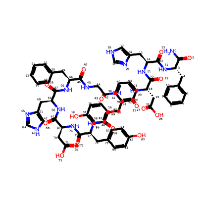 NC(=O)[C@H](Cc1ccccc1)NC(=O)[C@H](Cc1c[nH]cn1)NC(=O)[C@H](CC(=O)O)NC(=O)[C@H](Cc1ccc(O)cc1)NC(=O)CNC(=O)[C@H](Cc1ccccc1)NC(=O)[C@H](Cc1c[nH]cn1)NC(=O)[C@H](CC(=O)O)NC(=O)[C@H](Cc1ccc(O)cc1)NC(=O)OCc1ccccc1